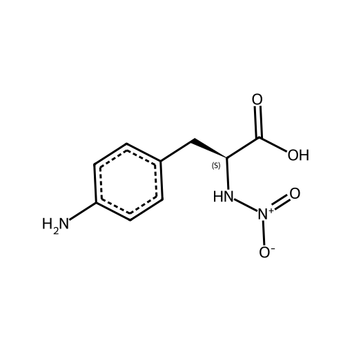 Nc1ccc(C[C@H](N[N+](=O)[O-])C(=O)O)cc1